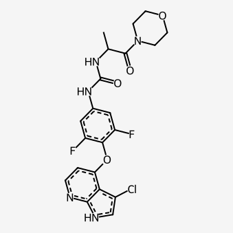 CC(NC(=O)Nc1cc(F)c(Oc2ccnc3[nH]cc(Cl)c23)c(F)c1)C(=O)N1CCOCC1